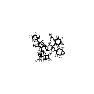 CNC(=O)C1(n2c(=O)c3c(C)c(-c4ncco4)sc3n(C[C@H](OC3CCOCC3)c3ccccc3OC)c2=O)CCC1